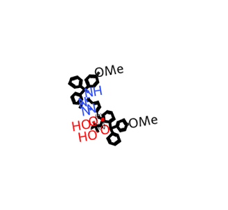 COc1ccc(C(Nc2ncnn3c([C@H]4C[C@H](OC(c5ccccc5)(c5ccccc5)c5ccc(OC)cc5)C(CO)(CO)O4)ccc23)(c2ccccc2)c2ccccc2)cc1